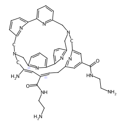 NCCNC(=O)C1=C\Cc2cc(C(=O)NCCN)cc(n2)CN2Cc3cccc(n3)-c3cccc(n3)CN(C\C(N)=C\1)Cc1cccc(n1)-c1cccc(n1)C2